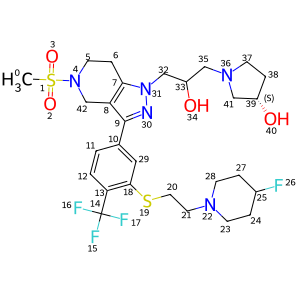 CS(=O)(=O)N1CCc2c(c(-c3ccc(C(F)(F)F)c(SCCN4CCC(F)CC4)c3)nn2CC(O)CN2CC[C@H](O)C2)C1